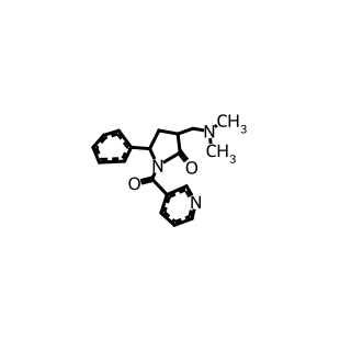 CN(C)CC1CC(c2ccccc2)N(C(=O)c2cccnc2)C1=O